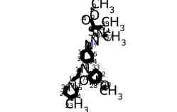 CCOC(=O)c1sc(/N=N/c2ccc(N(CC(O)C[n+]3ccc(C)cc3)c3ccc(OC)cc3)cc2)[n+](C)c1C